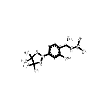 COc1cc(B2OC(C)(C)C(C)(C)O2)ccc1[C@H](C)N[S+]([O-])C(C)(C)C